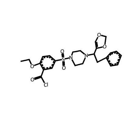 CCOc1ccc(S(=O)(=O)N2CCN(C(Cc3ccccc3)C3=COCO3)CC2)cc1C(=O)Cl